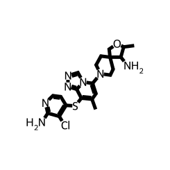 Cc1cc(N2CCC3(CC2)COC(C)C3N)n2cnnc2c1Sc1ccnc(N)c1Cl